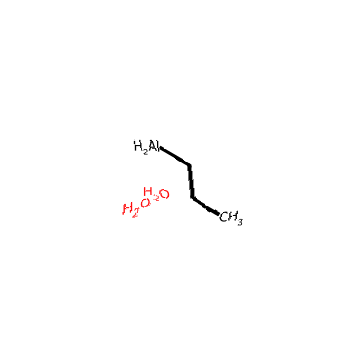 CC[CH2][AlH2].O.O